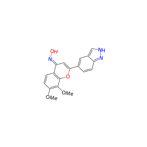 COc1ccc2/c(=N/O)cc(-c3ccc4n[nH]cc4c3)oc2c1OC